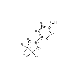 CC1(C)OB(c2cnc(O)nc2)OC1(C)C